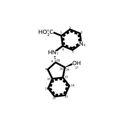 O=C(O)c1ccncc1N[C@H]1Cc2ccccc2[C@@H]1O